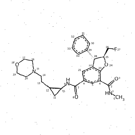 CNC(=O)c1cc(C(=O)NC2CC2CCN2CCOCC2)cc2c1O[C@H](CF)[C@H]2c1ccccc1